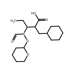 CCC(C(CC1CCCCC1)C(=O)O)N(C=O)OC1CCCCO1